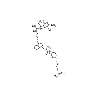 CN(C)CCCCCCc1ccc(NC(=O)C(N)Cc2ccc(CCCCNC(=N)NC(=O)c3nc(Cl)c(N)nc3N)c3ccccc23)cc1